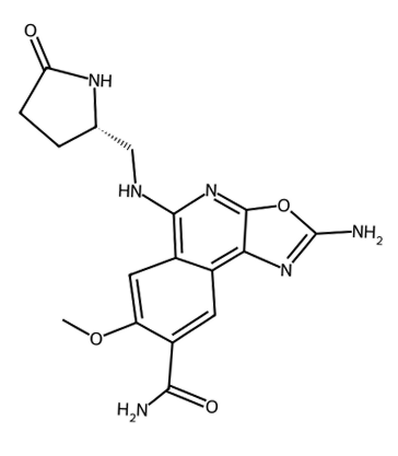 COc1cc2c(NC[C@@H]3CCC(=O)N3)nc3oc(N)nc3c2cc1C(N)=O